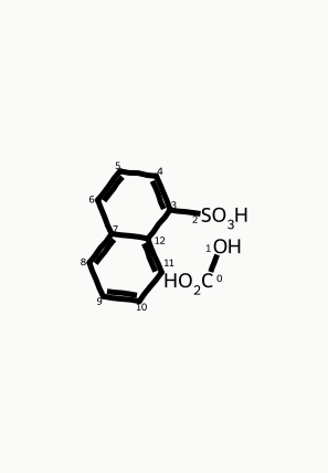 O=C(O)O.O=S(=O)(O)c1cccc2ccccc12